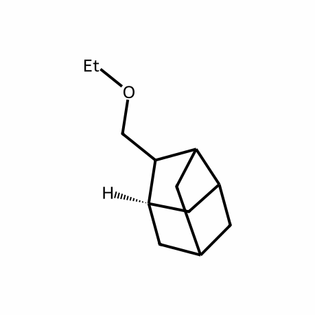 CCOCC1C2CC3CC2C[C@H]1C3